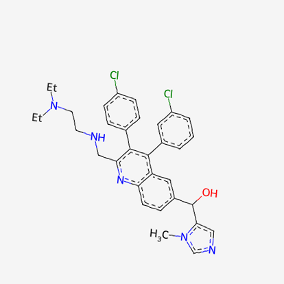 CCN(CC)CCNCc1nc2ccc(C(O)c3cncn3C)cc2c(-c2cccc(Cl)c2)c1-c1ccc(Cl)cc1